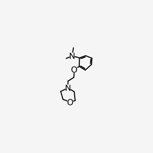 CN(C)c1ccccc1OCCN1CCOCC1